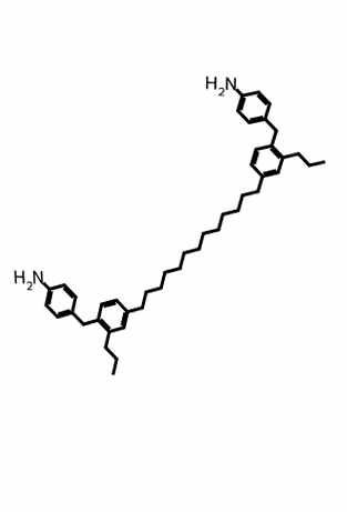 CCCc1cc(CCCCCCCCCCCCCc2ccc(Cc3ccc(N)cc3)c(CCC)c2)ccc1Cc1ccc(N)cc1